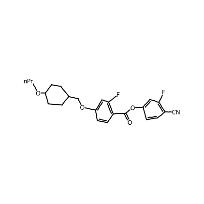 CCCOC1CCC(COc2ccc(C(=O)Oc3ccc(C#N)c(F)c3)c(F)c2)CC1